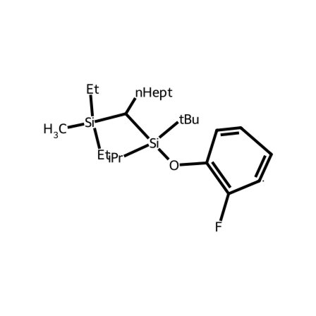 CCCCCCCC([Si](C)(CC)CC)[Si](Oc1ccc[c]c1F)(C(C)C)C(C)(C)C